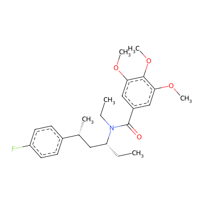 CC[C@H](C[C@@H](C)c1ccc(F)cc1)N(CC)C(=O)c1cc(OC)c(OC)c(OC)c1